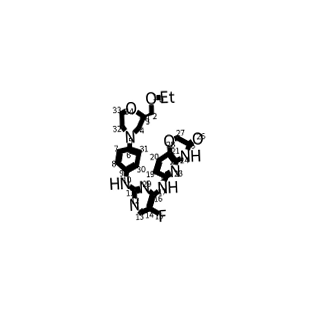 CCOC[C@H]1CN(c2ccc(Nc3ncc(F)c(Nc4ccc5c(n4)NC(=O)CO5)n3)cc2)CCO1